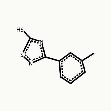 Cc1cccc(-c2nsc(S)n2)c1